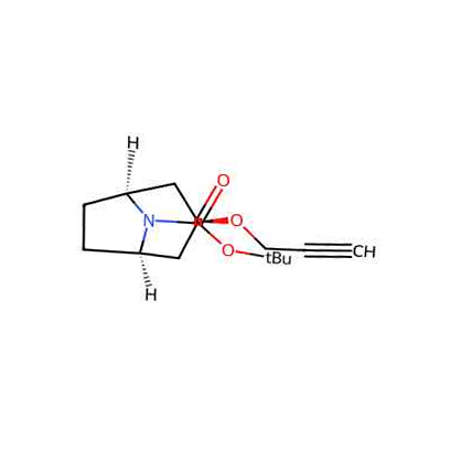 C#CCO[C@H]1C[C@H]2CC[C@@H](C1)N2C(=O)OC(C)(C)C